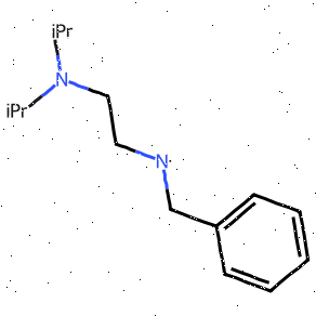 CC(C)N(CC[N]Cc1ccccc1)C(C)C